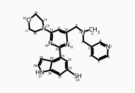 CN(Cc1cccnc1)Cc1cc(N2CCOCC2)nc(-c2cc(S)cc3[nH]ccc23)n1